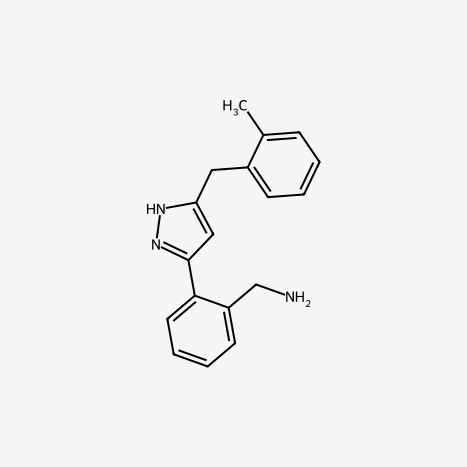 Cc1ccccc1Cc1cc(-c2ccccc2CN)n[nH]1